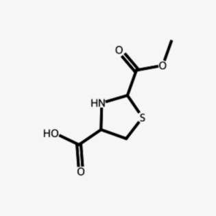 COC(=O)C1NC(C(=O)O)CS1